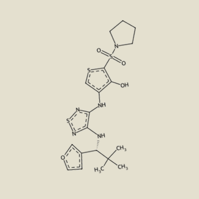 CC(C)(C)[C@@H](Nc1nsnc1Nc1csc(S(=O)(=O)N2CCCC2)c1O)c1ccoc1